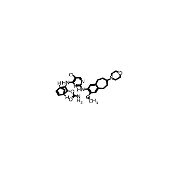 COc1cc2c(cc1Nc1ncc(Cl)c(N[C@H]3[C@@H](OC(N)=O)[C@@H]4C=C[C@H]3C4)n1)CCC(N1CCOCC1)CC2